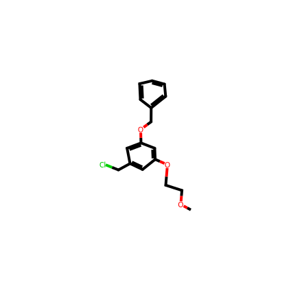 COCCOc1cc(CCl)cc(OCc2ccccc2)c1